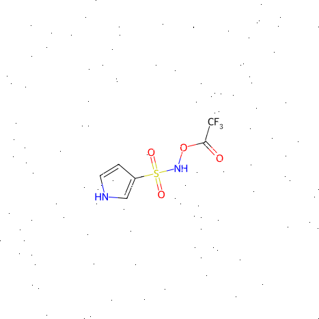 O=C(ONS(=O)(=O)c1cc[nH]c1)C(F)(F)F